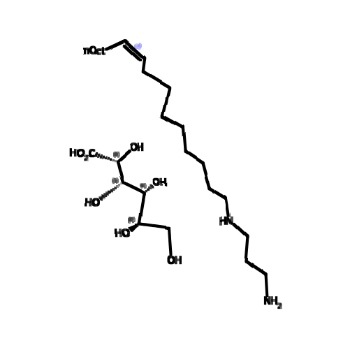 CCCCCCCC/C=C\CCCCCCCCNCCCN.O=C(O)[C@H](O)[C@@H](O)[C@H](O)[C@H](O)CO